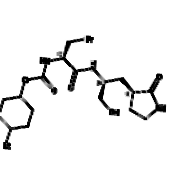 CCC1CCC(OC(=O)N[C@@H](CC(C)C)C(=O)N[C@H](CO)C[C@@H]2CCNC2=O)CC1